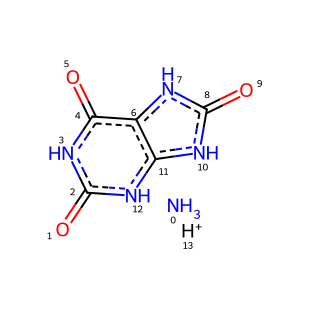 N.O=c1[nH]c(=O)c2[nH]c(=O)[nH]c2[nH]1.[H+]